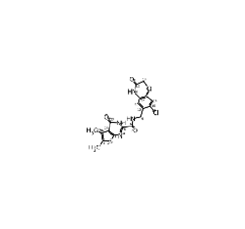 Cc1sc2nc(C(=O)NCc3cc4c(cc3Cl)OCC(=O)N4)[nH]c(=O)c2c1C